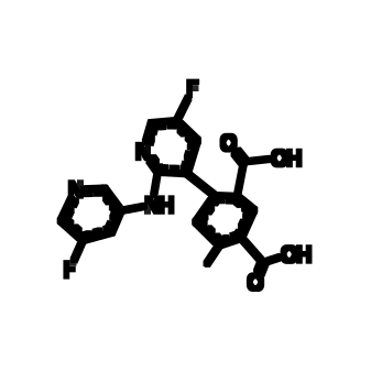 Cc1cc(-c2cc(F)cnc2Nc2cncc(F)c2)c(C(=O)O)cc1C(=O)O